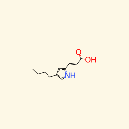 CCCCc1c[nH]c(/C=C/C(=O)O)c1